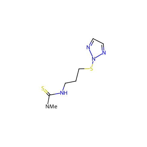 CNC(=S)NCCCSn1nccn1